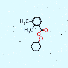 Cc1cccc(C(=O)OO[C]2CCCCC2)c1C